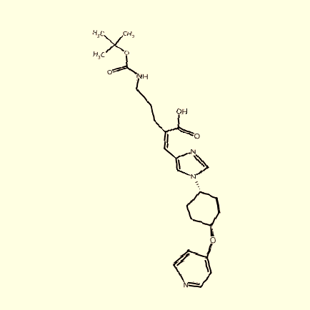 CC(C)(C)OC(=O)NCCCC(=Cc1cn([C@H]2CC[C@H](Oc3ccncc3)CC2)cn1)C(=O)O